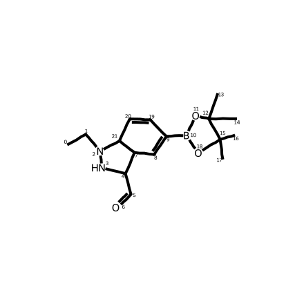 CCN1NC(C=O)C2C=C(B3OC(C)(C)C(C)(C)O3)C=CC21